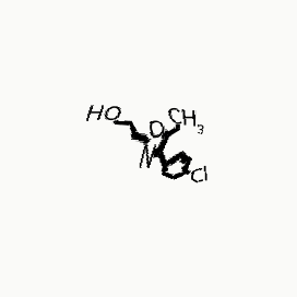 CCc1oc(CCCO)nc1-c1ccc(Cl)cc1